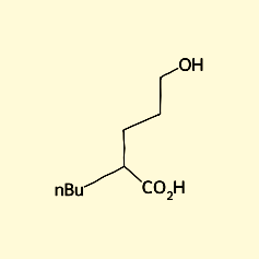 CCCCC(CCCO)C(=O)O